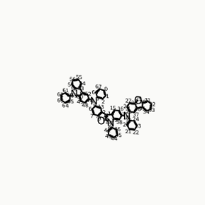 c1ccc(N(c2ccc3oc4c(c3c2)c2ccc(N(c3ccccc3)c3ccc5oc6ccccc6c5c3)cc2n4-c2ccccc2)c2ccc3c(c2)c2ccccc2n3-c2ccccc2)cc1